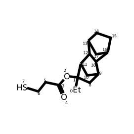 CCC1(OC(=O)CCS)CC2CC1C1C3CCC(C3)C21